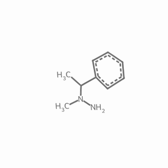 CC(c1ccccc1)N(C)N